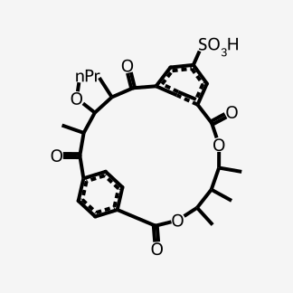 CCCOC1C(C)C(=O)c2ccc(cc2)C(=O)OC(C)C(C)C(C)OC(=O)c2cc(cc(S(=O)(=O)O)c2)C(=O)C1C